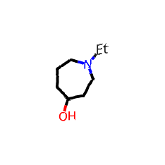 [CH2]CN1CCCC(O)CC1